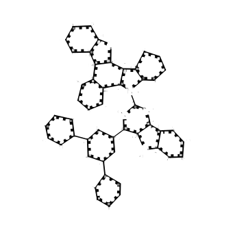 c1ccc(-c2cc(-c3ccccc3)cc(-c3nc(-n4c5ccccc5c5c6sc7ccccc7c6c6ccccc6c54)nc4c3oc3ccccc34)c2)cc1